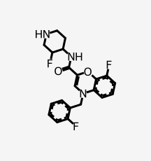 O=C(NC1CCNCC1F)C1=CN(Cc2ccccc2F)c2cccc(F)c2O1